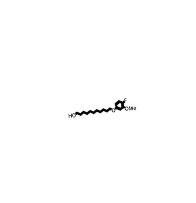 COc1cc(OCCCCCCCCCCCO)ccc1F